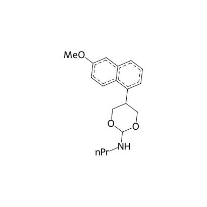 CCCNC1OCC(c2cccc3cc(OC)ccc23)CO1